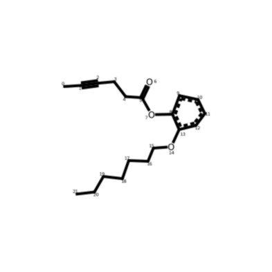 CC#CCCC(=O)Oc1ccccc1OCCCCCCC